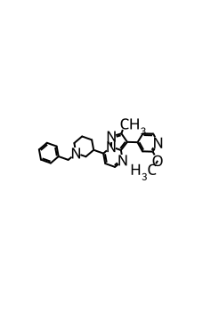 COc1cc(-c2c(C)nn3c(C4CCCN(Cc5ccccc5)C4)ccnc23)ccn1